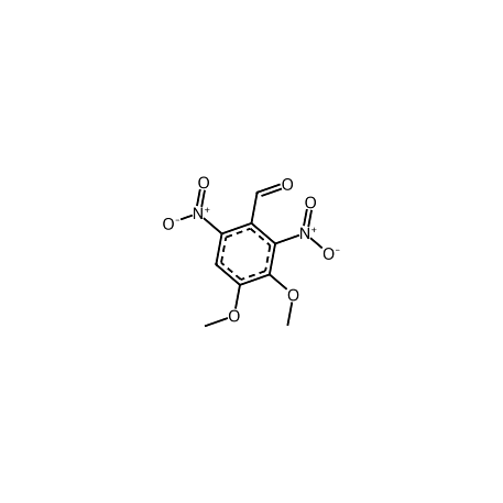 COc1cc([N+](=O)[O-])c(C=O)c([N+](=O)[O-])c1OC